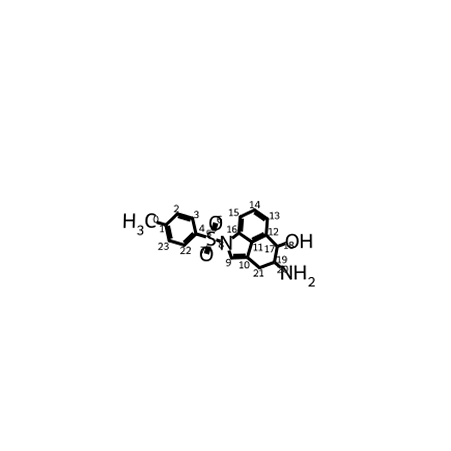 Cc1ccc(S(=O)(=O)n2cc3c4c(cccc42)C(O)C(N)C3)cc1